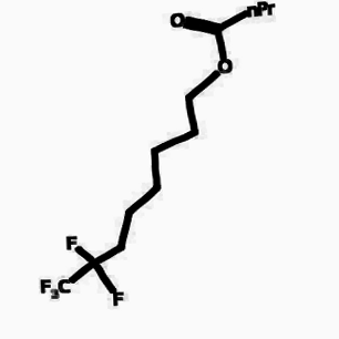 CCCC(=O)OCCCCCCC(F)(F)C(F)(F)F